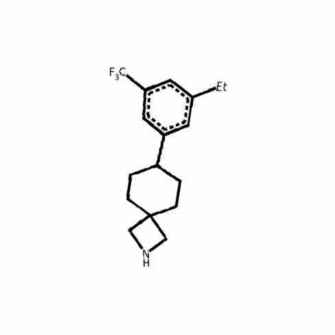 CCc1cc(C2CCC3(CC2)CNC3)cc(C(F)(F)F)c1